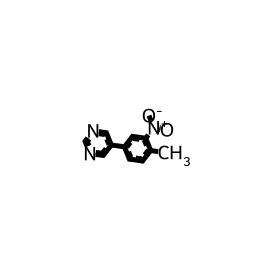 Cc1ccc(-c2cncnc2)cc1[N+](=O)[O-]